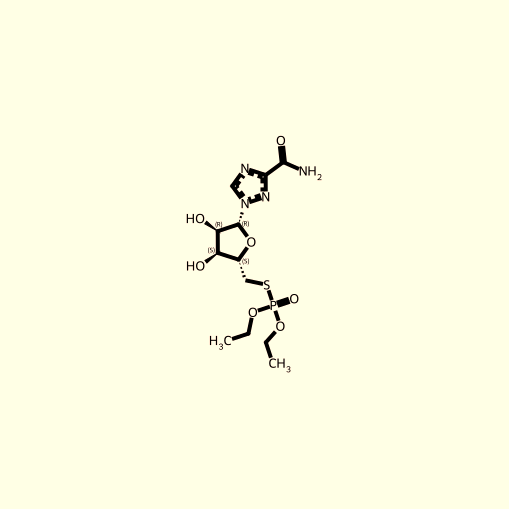 CCOP(=O)(OCC)SC[C@H]1O[C@@H](n2cnc(C(N)=O)n2)[C@H](O)[C@@H]1O